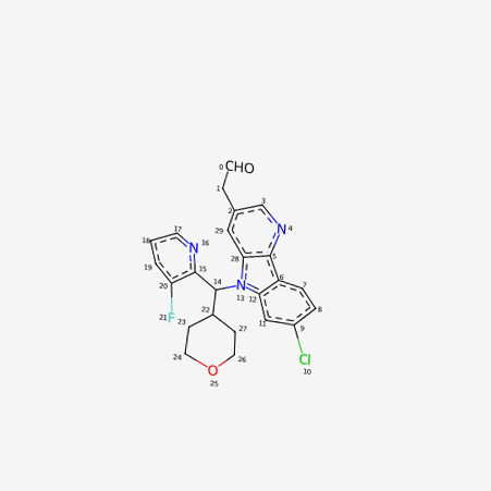 O=CCc1cnc2c3ccc(Cl)cc3n(C(c3ncccc3F)C3CCOCC3)c2c1